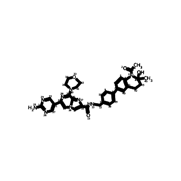 CC(=O)N1c2ccc(-c3ccc(CNC(=O)c4cn5cc(-c6cnc(N)nc6)nc(N6CCOCC6)c5n4)cc3)cc2CCC1(C)O